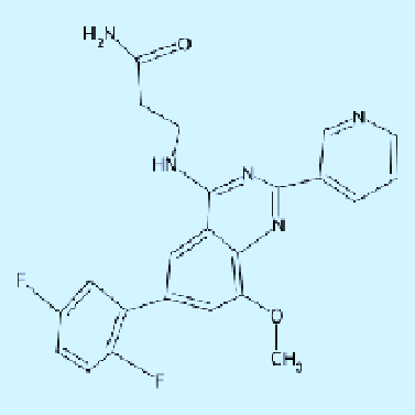 COc1cc(-c2cc(F)ccc2F)cc2c(NCCC(N)=O)nc(-c3cccnc3)nc12